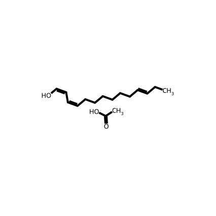 CC(=O)O.CCC=CCCCCCC/C=C\C=C/O